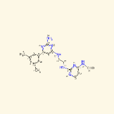 Cc1cc(C)cc(-c2cc(NCCNc3nccc(NC=O)n3)nc(N)n2)c1